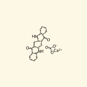 O=C([O-])[O-].O=c1c2ccccc2[nH]c2cc3c(=O)c4ccccc4[nH]c3cc12.[Ca+2]